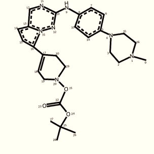 CN1CCN(c2ccc(Nc3ncc4ccc(C5=CCN(OC(=O)OC(C)(C)C)CC5)n4n3)cc2)CC1